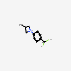 CCC1CN(c2ccc(C(F)F)cc2)C1